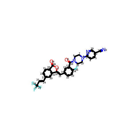 N#Cc1ccc(N2CCN(C(=O)c3cc(C=C4OC(=O)c5ccc(/C=C/C(F)(F)F)cc54)ccc3F)CC2)nc1